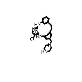 Clc1cnc2nc1Nc1cc(cc(CN3CCNCC3)c1)CCc1cccc(c1)N2